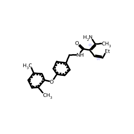 CC/C=C\C(C(=O)NCc1ccc(Oc2cc(C)ccc2C)cc1)=C(/C)N